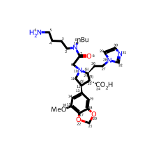 CCCCN(CCCCN)C(=O)CN1C[C@H](c2cc(OC)c3c(c2)OCO3)[C@@H](C(=O)O)[C@@H]1CCn1ccnc1